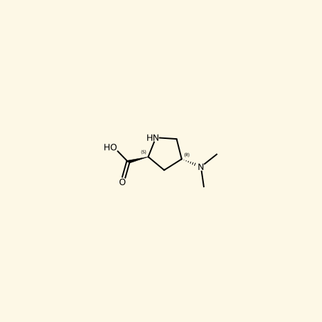 CN(C)[C@H]1CN[C@H](C(=O)O)C1